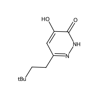 CC(C)(C)CCc1cc(O)c(=O)[nH]n1